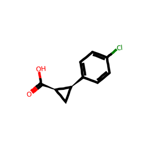 O=C(O)[C@@H]1C[C@@H]1c1ccc(Cl)cc1